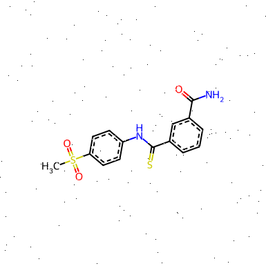 CS(=O)(=O)c1ccc(NC(=S)c2cccc(C(N)=O)c2)cc1